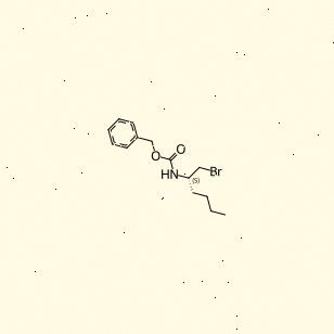 CCCC[C@@H](CBr)NC(=O)OCc1ccccc1